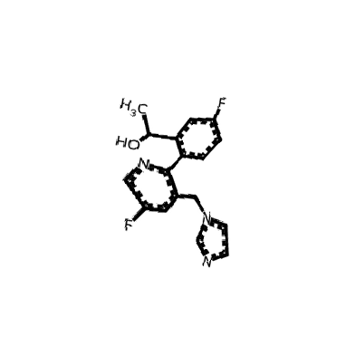 CC(O)c1cc(F)ccc1-c1ncc(F)cc1Cn1ccnc1